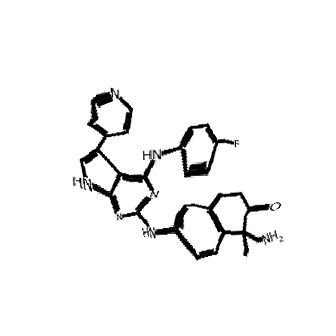 CC1(N)C(=O)CCc2cc(Nc3nc(Nc4ccc(F)cc4)c4c(-c5ccncc5)c[nH]c4n3)ccc21